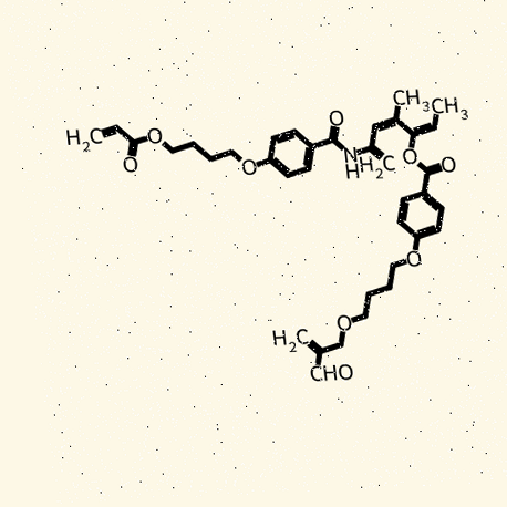 C=CC(=O)OCCCCOc1ccc(C(=O)NC(=C)/C=C(C)\C(=C/C)OC(=O)c2ccc(OCCCCOCC(=C)C=O)cc2)cc1